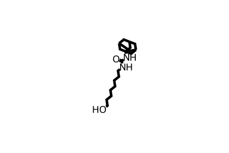 O=C(NCCCCCCCCO)NC12CC3CC(CC(C3)C1)C2